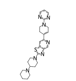 C1=C(c2cc3sc(N4CCC(N5CCCCC5)CC4)nc3cn2)CCN(c2ncccn2)C1